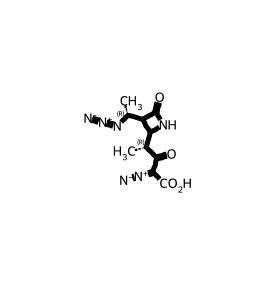 C[C@@H](N=[N+]=[N-])C1C(=O)NC1[C@@H](C)C(=O)C(=[N+]=[N-])C(=O)O